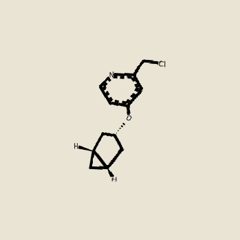 ClCc1cc(O[C@@H]2C[C@@H]3C[C@@H]3C2)ccn1